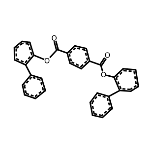 O=C(Oc1ccccc1-c1ccccc1)c1ccc(C(=O)Oc2ccccc2-c2ccccc2)cc1